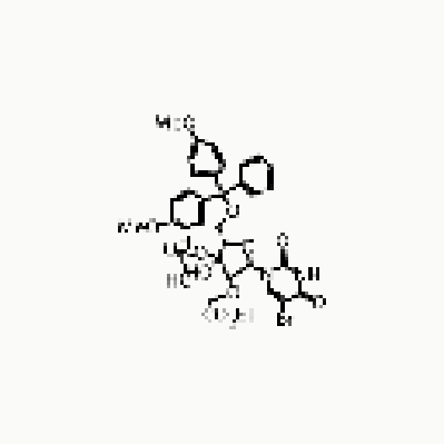 CCOC(=O)CO[C@H]1[C@H](n2cc(Br)c(=O)[nH]c2=O)O[C@H](COC(c2ccccc2)(c2ccc(OC)cc2)c2ccc(OC)cc2)[C@@]1(O)O[PH](=O)O